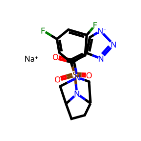 O=C(c1c[n-]nn1)N1CC2CCC(C1)N2S(=O)(=O)c1cc(F)cc(F)c1.[Na+]